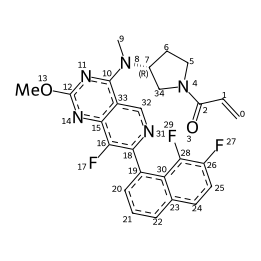 C=CC(=O)N1CC[C@@H](N(C)c2nc(OC)nc3c(F)c(-c4cccc5ccc(F)c(F)c45)ncc23)C1